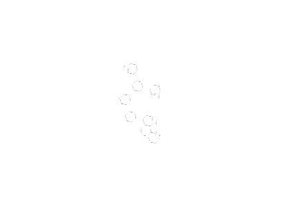 c1cncc(-c2cc(-c3cccnc3)cc(-c3cccc(-c4cccc(-c5ccnc6c5ccc5cccnc56)c4)c3)c2)c1